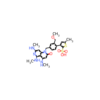 CNc1cc2c(c(NC)cc(=O)n2Cc2ccc(-c3cc(C)sc3S(=O)(=O)O)c(COC)c2)c(NC)n1